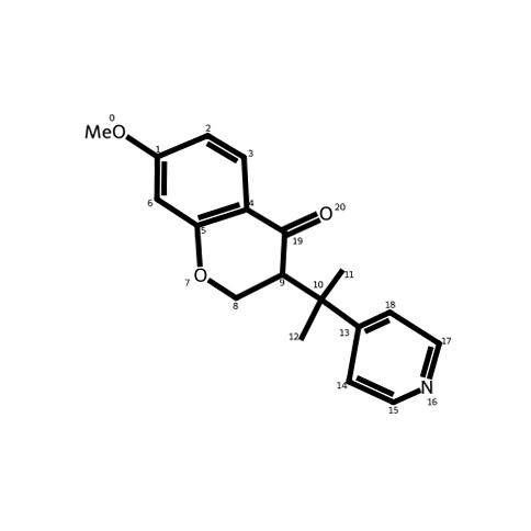 COc1ccc2c(c1)OCC(C(C)(C)c1ccncc1)C2=O